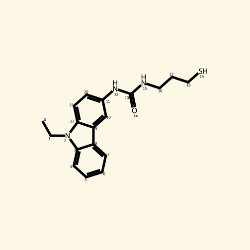 CCn1c2ccccc2c2cc(NC(=O)NCCCS)ccc21